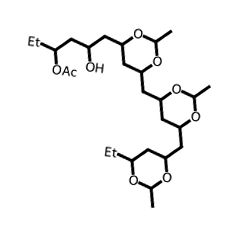 CCC(CC(O)CC1CC(CC2CC(CC3CC(CC)OC(C)O3)OC(C)O2)OC(C)O1)OC(C)=O